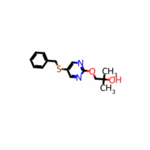 CC(C)(O)COc1ncc(SCc2ccccc2)cn1